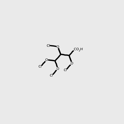 O=C(O)C(OCl)C(OCl)C(OCl)OCl